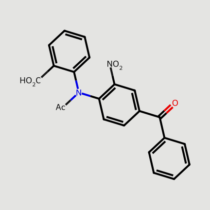 CC(=O)N(c1ccccc1C(=O)O)c1ccc(C(=O)c2ccccc2)cc1[N+](=O)[O-]